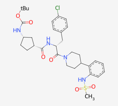 CC(C)(C)OC(=O)N[C@H]1CC[C@@H](C(=O)N[C@H](Cc2ccc(Cl)cc2)C(=O)N2CCC(c3ccccc3NS(C)(=O)=O)CC2)C1